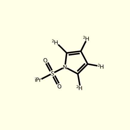 [2H]c1c([2H])c([2H])n(S(=O)(=O)C(C)C)c1[2H]